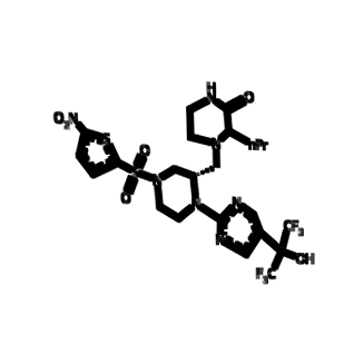 CCCC1C(=O)NCCN1C[C@H]1CN(S(=O)(=O)c2ccc([N+](=O)[O-])s2)CCN1c1ncc(C(O)(C(F)(F)F)C(F)(F)F)cn1